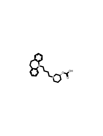 O=C(O)O[C@@H]1CCCN(CCCCN2c3ccccc3CCc3ccccc32)C1